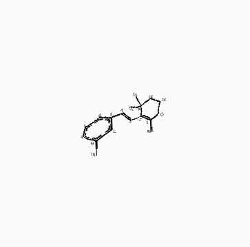 CC1=C(C=Cc2cccc(I)c2)C(C)(C)CCC1